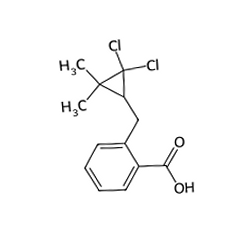 CC1(C)C(Cc2ccccc2C(=O)O)C1(Cl)Cl